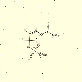 CNC(=O)ON=C(C)C(C)(C)CS(=O)(=O)OC